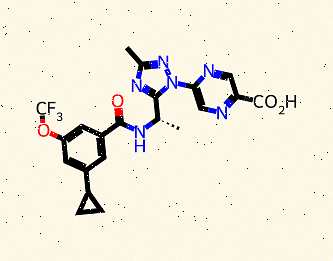 Cc1nc([C@H](C)NC(=O)c2cc(OC(F)(F)F)cc(C3CC3)c2)n(-c2cnc(C(=O)O)cn2)n1